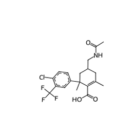 CC(=O)NCC1CC(C)=C(C(=O)O)C(C)(c2ccc(Cl)c(C(F)(F)F)c2)C1